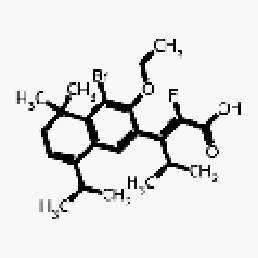 CCOc1c(C(=C(F)C(=O)O)C(C)C)cc2c(c1Br)C(C)(C)CC=C2C(C)C